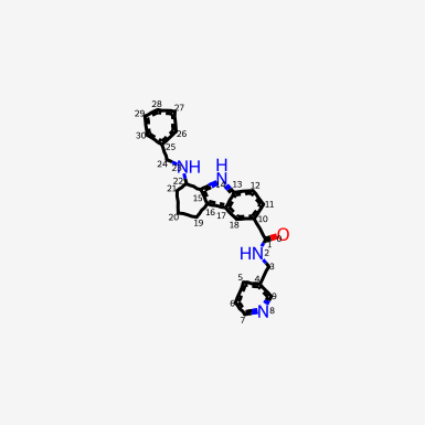 O=C(NCc1cccnc1)c1ccc2[nH]c3c(c2c1)CCCC3NCc1ccccc1